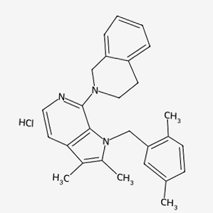 Cc1ccc(C)c(Cn2c(C)c(C)c3ccnc(N4CCc5ccccc5C4)c32)c1.Cl